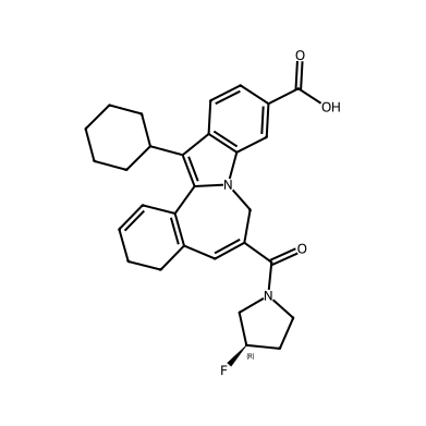 O=C(O)c1ccc2c(C3CCCCC3)c3n(c2c1)CC(C(=O)N1CC[C@@H](F)C1)=CC1=C3C=CCC1